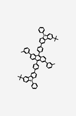 Cc1cccc(-c2ccc3c(-c4ccc(-c5ccc6c(c5)c5cc(C(C)(C)C)ccc5n6-c5ccccc5)cc4)c4cc(-c5cccc(C)c5)ccc4c(-c4ccc(-c5ccc6c(c5)c5cc(C(C)(C)C)ccc5n6-c5ccccc5)cc4)c3c2)c1